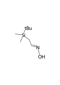 CC(C)(C)[Si](C)(C)CC=NO